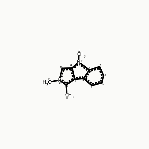 Cc1c2c3ccccc3n(C)c2cn1C